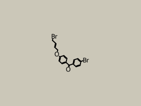 O=C(c1ccc(Br)cc1)c1ccc(OC/C=C/CBr)cc1